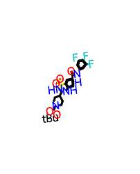 CC(C)(C)OC(=O)N1CCC(C2Nc3ccc(C(=O)Nc4cc(F)c(F)c(F)c4)cc3S(=O)(=O)N2)CC1